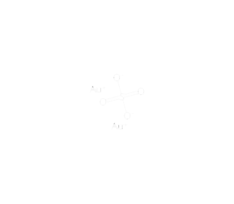 O=S(=O)([O-])[O-].[Au+].[Au+]